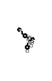 Clc1ccc(CNc2nc(-c3ccc(CCN4CCCC4)cc3)nc3ccsc23)c(Cl)c1